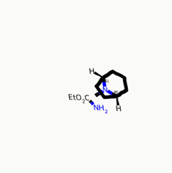 CCOC(N)=O.CN1[C@@H]2CCC[C@H]1CC2